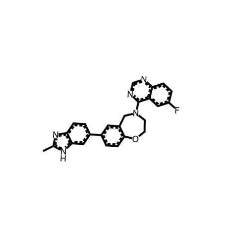 Cc1nc2ccc(-c3ccc4c(c3)CN(c3ncnc5ccc(F)cc35)CCO4)cc2[nH]1